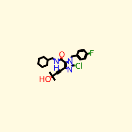 CC(C)(O)C#Cc1nc(Cl)n(Cc2ccc(F)cc2)c1C(=O)NCC1CCCCC1